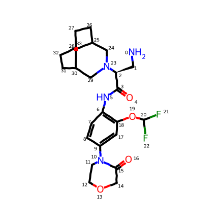 NC[C@@H](C(=O)Nc1ccc(N2CCOCC2=O)cc1OC(F)F)N(CC1CCC1)CC1CCC1